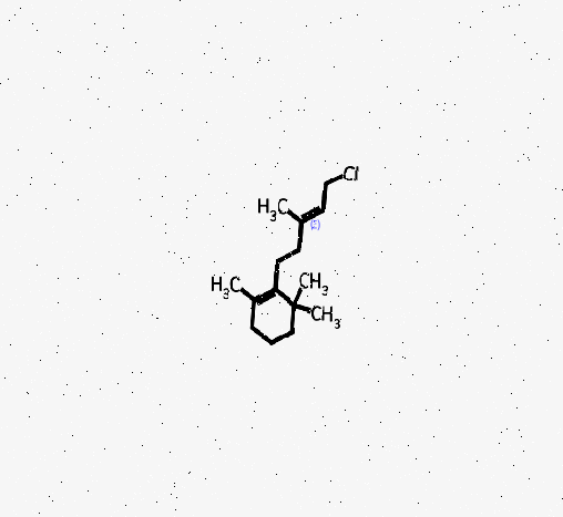 CC1=C(CC/C(C)=C/CCl)C(C)(C)CCC1